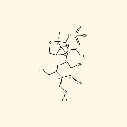 CO[C@H]1OC2CO[C@@H](C1OS(=O)(=O)O)[C@H]2O[C@@H]1OC(CO)[C@H](OOO)[C@H](C)C1O